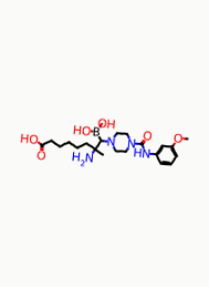 COc1cccc(NC(=O)N2CCN(C(B(O)O)C(C)(N)CCCCCC(=O)O)CC2)c1